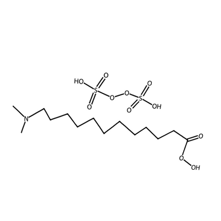 CN(C)CCCCCCCCCCCC(=O)OO.O=S(=O)(O)OOS(=O)(=O)O